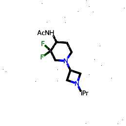 CC(=O)NC1CCN(C2CN(C(C)C)C2)CC1(F)F